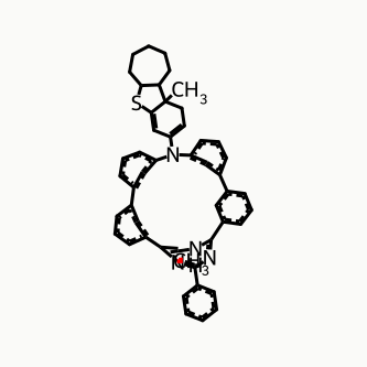 CC1=C2N=C(c3ccccc3)N=C(N1)c1cccc(c1)-c1cccc(c1)N(C1=CCC3(C)C(=C1)SC1CCCCCC13)c1cccc(c1)-c1cccc2c1